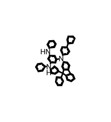 c1ccc(Nc2cc(Nc3ccccc3)cc(N(c3ccc(-c4ccccc4)cc3)c3ccc4c(c3)C(c3ccccc3)(c3ccccc3)c3ccccc3-4)c2)cc1